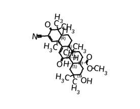 COC(=O)[C@@]12CC[C@]3(C)[C@H](C(=O)C=C4[C@@]5(C)C=C(C#N)C(=O)C(C)(C)[C@@H]5CC[C@]43C)[C@@H]1CC(C)(C)[C@@H](O)C2